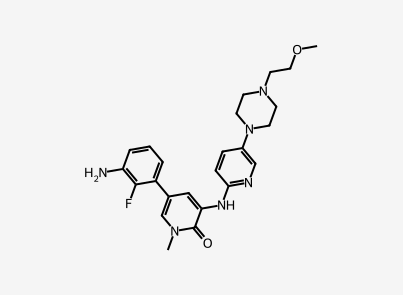 COCCN1CCN(c2ccc(Nc3cc(-c4cccc(N)c4F)cn(C)c3=O)nc2)CC1